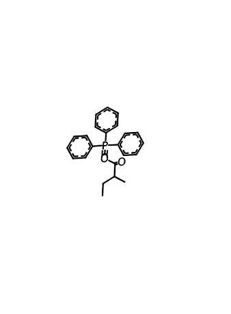 CCC(C)C(=O)O[PH](c1ccccc1)(c1ccccc1)c1ccccc1